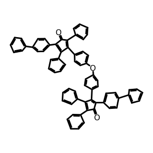 O=C1C(c2ccc(-c3ccccc3)cc2)=C(c2ccccc2)C(c2ccc(Oc3ccc(C4=C(c5ccc(-c6ccccc6)cc5)C(=O)C(c5ccccc5)=C4c4ccccc4)cc3)cc2)=C1c1ccccc1